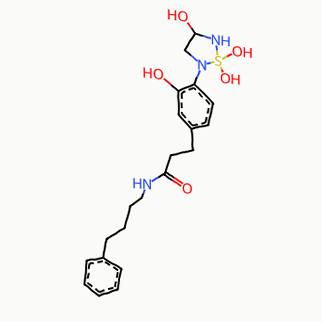 O=C(CCc1ccc(N2CC(O)NS2(O)O)c(O)c1)NCCCCc1ccccc1